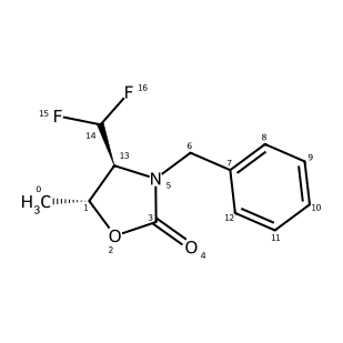 C[C@H]1OC(=O)N(Cc2ccccc2)[C@@H]1C(F)F